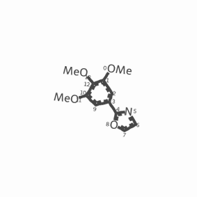 COc1cc(-c2ncco2)cc(OC)c1OC